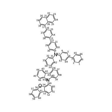 c1ccc(-c2ccc(N(c3ccc(-c4ccc(-c5cccc6ccccc56)cc4)cc3)c3cccc(-c4cccc5c4c4ccccc4n5-c4cccc5c4oc4ccccc45)c3)cc2)cc1